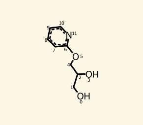 OCC(O)COc1ccccn1